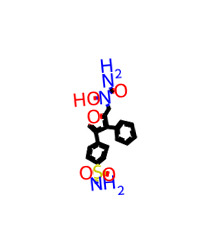 NC(=O)N(O)Cc1occ(-c2ccc(S(N)(=O)=O)cc2)c1-c1ccccc1